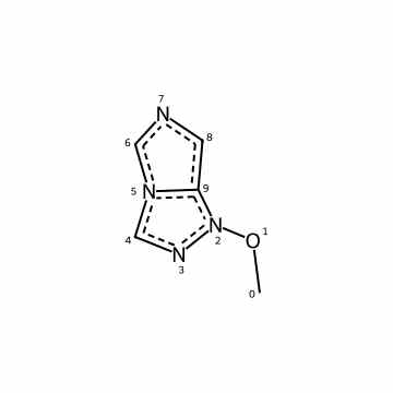 COn1ncn2cncc12